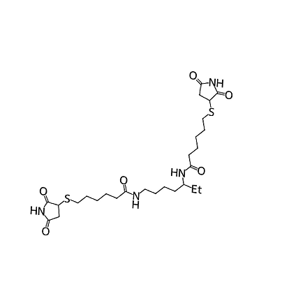 CCC(CCCCNC(=O)CCCCCSC1CC(=O)NC1=O)NC(=O)CCCCCSC1CC(=O)NC1=O